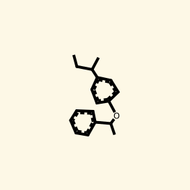 CCC(C)c1ccc(OC(C)c2ccccc2)cc1